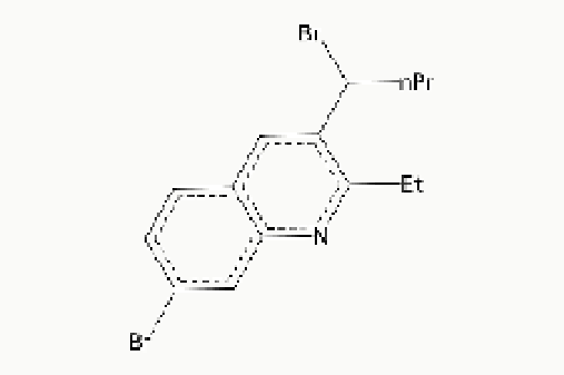 CCCC(Br)c1cc2ccc(Br)cc2nc1CC